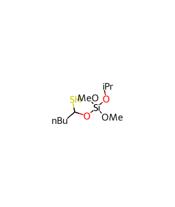 CCCCC(S)O[Si](OC)(OC)OC(C)C